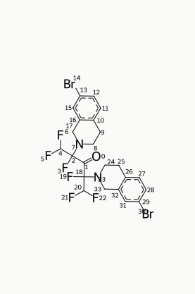 O=C(C(F)(C(F)F)N1CCc2ccc(Br)cc2C1)C(F)(C(F)F)N1CCc2ccc(Br)cc2C1